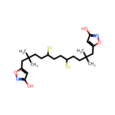 CC(C)(CCC(S)CCC(S)CCC(C)(C)Cc1cc(O)no1)Cc1cc(O)no1